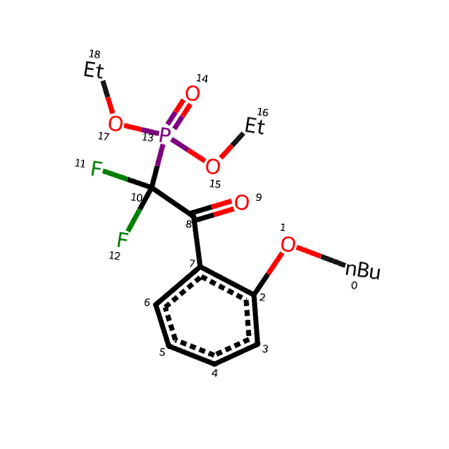 CCCCOc1ccccc1C(=O)C(F)(F)P(=O)(OCC)OCC